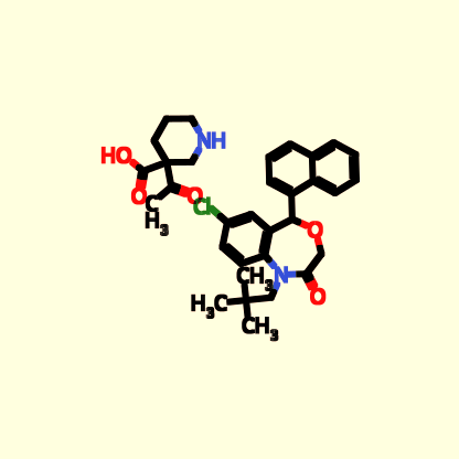 CC(=O)C1(C(=O)O)CCCNC1.CC(C)(C)CN1C(=O)COC(c2cccc3ccccc23)c2cc(Cl)ccc21